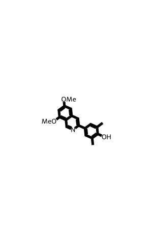 COc1cc(OC)c2cnc(-c3cc(C)c(O)c(C)c3)cc2c1